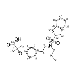 CCCN(CCc1ccc(OC(C)(C)C(=O)O)cc1)S(=O)(=O)C1Cc2ccccc2S1